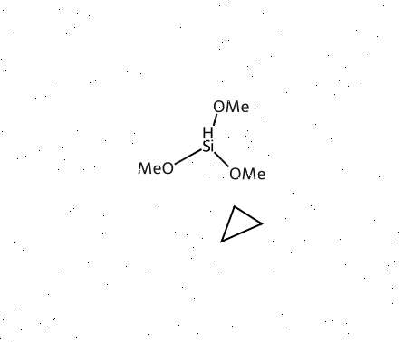 C1CC1.CO[SiH](OC)OC